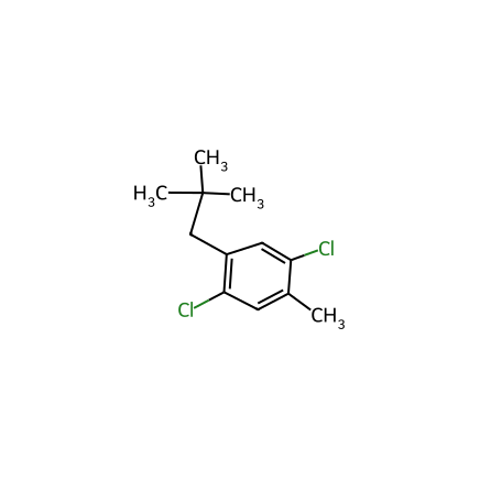 Cc1cc(Cl)c(CC(C)(C)C)cc1Cl